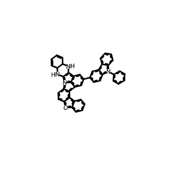 C1=CC2Nc3c(n4c5ccc6oc7ccccc7c6c5c5cc(-c6ccc7c(c6)c6ccccc6n7-c6ccccc6)cc3c54)NC2C=C1